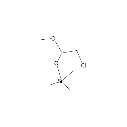 COC(CCl)O[Si](C)(C)C